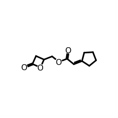 O=C(C=C1CCCC1)OCC1CC(=O)O1